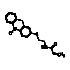 C=CC(=O)NCCSc1ccc2c(c1)Cc1ccccc1[S+]2[O-]